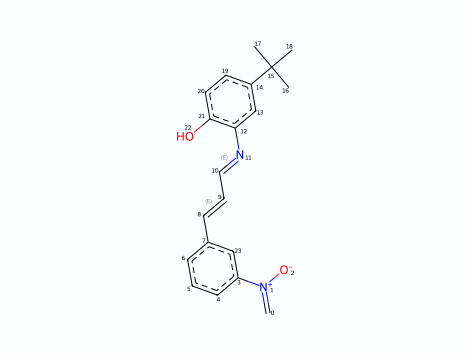 C=[N+]([O-])c1cccc(/C=C/C=N/c2cc(C(C)(C)C)ccc2O)c1